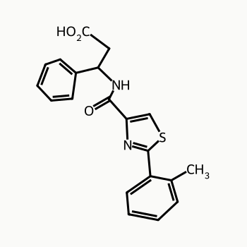 Cc1ccccc1-c1nc(C(=O)NC(CC(=O)O)c2ccccc2)cs1